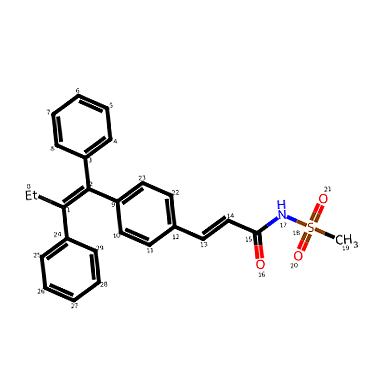 CC/C(=C(\c1ccccc1)c1ccc(/C=C/C(=O)NS(C)(=O)=O)cc1)c1ccccc1